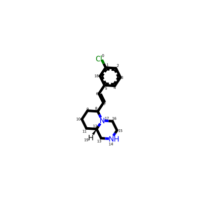 Clc1cccc(C=CC2CCC[C@H]3CNCCN23)c1